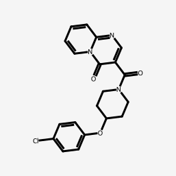 O=C(c1cnc2ccccn2c1=O)N1CCC(Oc2ccc(Cl)cc2)CC1